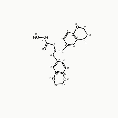 O=C(CN(Cc1ccc2c(c1)OCCO2)Cc1ccc2c(c1)OCCO2)NO